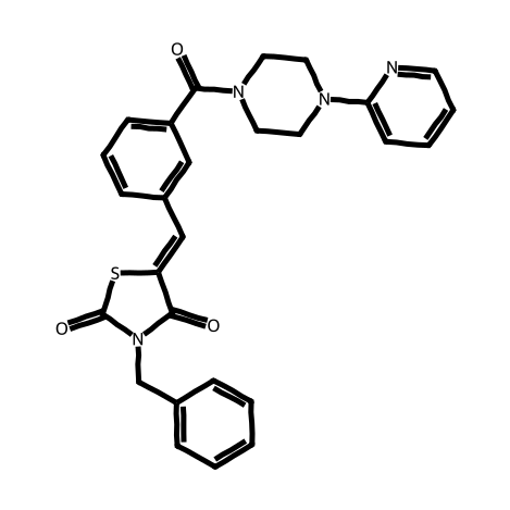 O=C(c1cccc(/C=C2\SC(=O)N(Cc3ccccc3)C2=O)c1)N1CCN(c2ccccn2)CC1